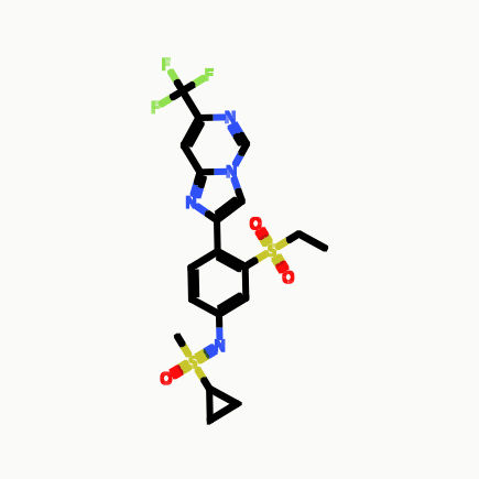 CCS(=O)(=O)c1cc(N=S(C)(=O)C2CC2)ccc1-c1cn2cnc(C(F)(F)F)cc2n1